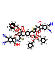 N#Cc1cc2c(cc1C#N)C(=O)C(=Cc1cc3c(s1)-c1cc4c(cc1OC3(C(=O)OCc1ccccc1)C(=O)OCc1ccccc1)-c1sc(/C=C3\C(=O)c5cc(C#N)c(C#N)cc5C3O)cc1C(C(=O)OCc1ccccc1)(C(=O)OCc1ccccc1)O4)C2=O